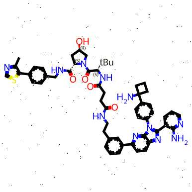 Cc1ncsc1-c1ccc(CNC(=O)[C@@H]2C[C@@H](O)CN2C(=O)[C@@H](NC(=O)CCC(=O)NCCc2cccc(-c3ccc4nc(-c5cccnc5N)n(-c5ccc(C6(N)CCC6)cc5)c4n3)c2)C(C)(C)C)cc1